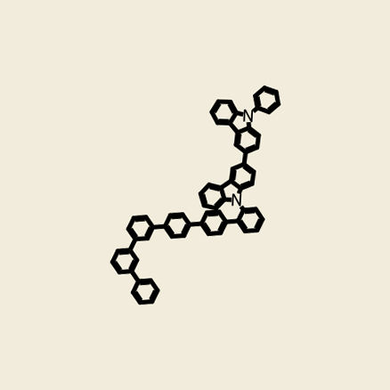 c1ccc(-c2cccc(-c3cccc(-c4ccc(-c5ccc(-c6ccccc6-n6c7ccccc7c7cc(-c8ccc9c(c8)c8ccccc8n9-c8ccccc8)ccc76)cc5)cc4)c3)c2)cc1